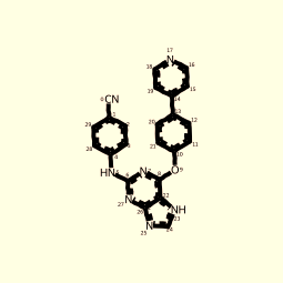 N#Cc1ccc(Nc2nc(Oc3ccc(-c4ccncc4)cc3)c3[nH]cnc3n2)cc1